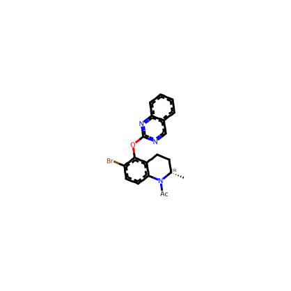 CC(=O)N1c2ccc(Br)c(Oc3ncc4ccccc4n3)c2CC[C@@H]1C